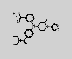 CCN(CC)C(=O)c1ccc(N(c2cccc(C(N)=O)c2)C2CCN(c3ccoc3)C(C)C2)cc1